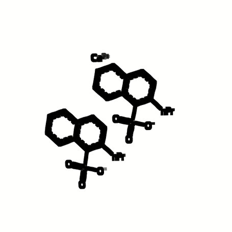 CCCc1ccc2ccccc2c1S(=O)(=O)[O-].CCCc1ccc2ccccc2c1S(=O)(=O)[O-].[Ca+2]